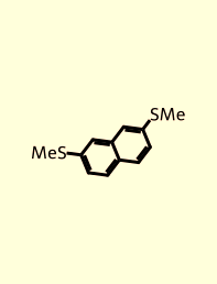 CSc1ccc2ccc(SC)cc2c1